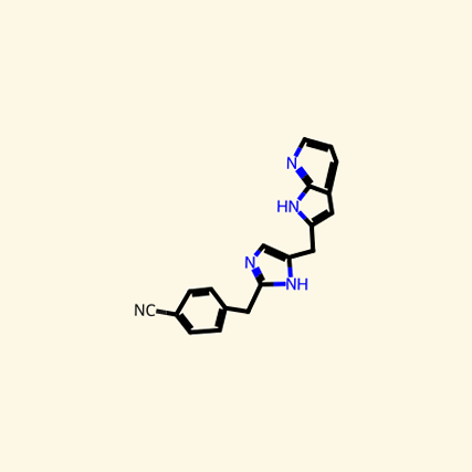 N#Cc1ccc(Cc2ncc(Cc3cc4cccnc4[nH]3)[nH]2)cc1